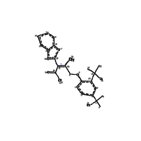 CCC(C)(C)c1ccc(OC/C(O)=C(\C(=O)C(F)(F)F)c2nc3ccccc3o2)c(C(C)(C)CC)c1